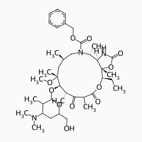 CC[C@H]1OC(=O)C(C)C(=O)[C@H](C)[C@@H](OC2OC(CO)CC(N(C)C)C2C)[C@](C)(OC)C[C@@H](C)CN(C(=O)OCc2ccccc2)[C@H](C)[C@H]2NC(=O)O[C@@]21C